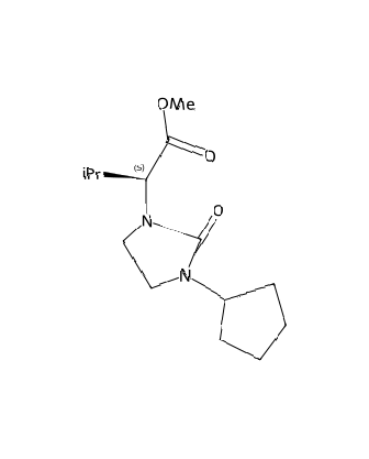 COC(=O)[C@H](C(C)C)N1CCN(C2CCCC2)C1=O